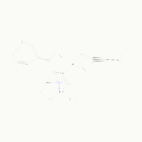 C=C(c1ccccc1)[C@@H]1C(C(C#N)(C#N)CC#CCOC(C)=O)=C[C@H]2CCC1N2